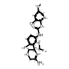 COc1cnc(OC(=O)Nc2ccc(F)c([C@]3(C(F)F)COCC(N)=N3)c2)c(Cl)c1